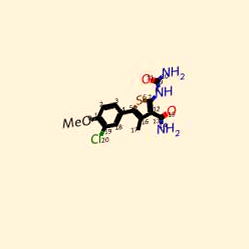 COc1ccc(-c2sc(NC(N)=O)c(C(N)=O)c2C)cc1Cl